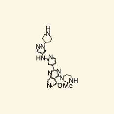 COc1cncc2nc(-c3ccnc(Nc4cnn(C5CCNCC5)c4)c3)nc(N3CCNCC3)c12